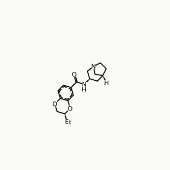 CC[C@H]1COc2ccc(C(=O)N[C@@H]3C[C@H]4CCN(C4)C3)cc2O1